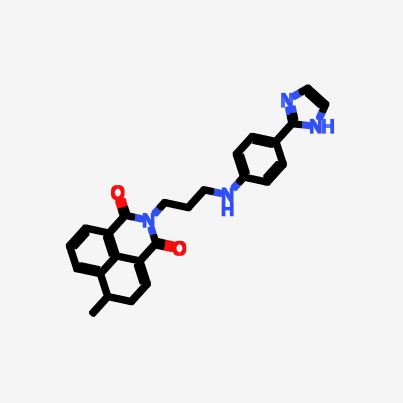 CC1CC=C2C(=O)N(CCCNc3ccc(-c4ncc[nH]4)cc3)C(=O)c3cccc1c32